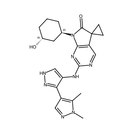 Cc1c(-c2n[nH]cc2Nc2ncc3c(n2)N([C@@H]2CCC[C@@H](O)C2)C(=O)C32CC2)cnn1C